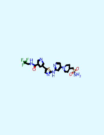 NS(=O)(=O)CC1CCN(c2ccnc(Nc3ncc(-c4cncc(C(=O)NCC(F)(F)F)c4)s3)c2)CC1